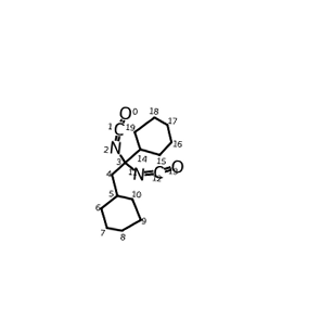 O=C=NC(CC1CCCCC1)(N=C=O)C1CCCCC1